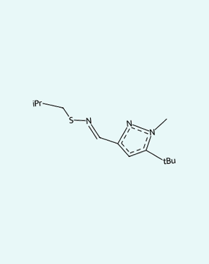 CC(C)CS/N=C/c1cc(C(C)(C)C)n(C)n1